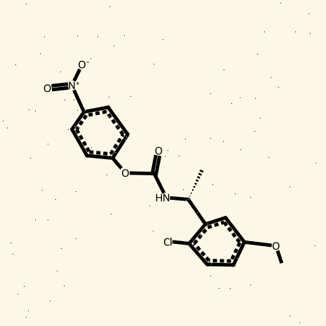 COc1ccc(Cl)c([C@@H](C)NC(=O)Oc2ccc([N+](=O)[O-])cc2)c1